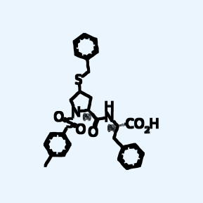 Cc1ccc(S(=O)(=O)N2CC(SCc3ccccc3)C[C@H]2C(=O)N[C@@H](Cc2ccccc2)C(=O)O)cc1